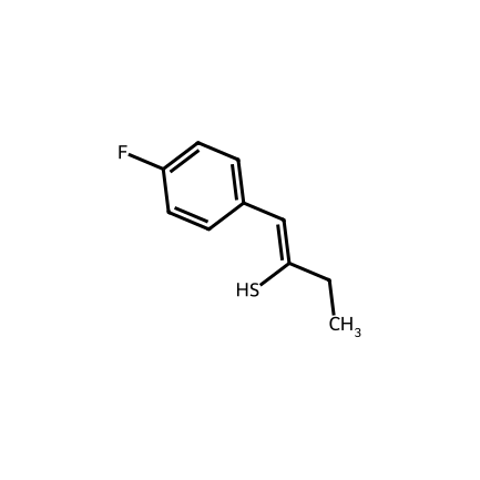 CCC(S)=Cc1ccc(F)cc1